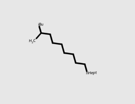 [CH2]CC(C)C(C)CCCCCCCCCCCCCC